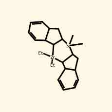 C[CH2][Zr]1([CH2]C)[CH]2C3C=CC=CC3CC2[Si](C)(C)C2CC3C=CC=CC3[CH]21